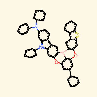 c1ccc(-c2cc3c4c(c2)Oc2cc5c(cc2B4c2cc4c(cc2O3)sc2ccccc24)c2ccc(N(c3ccccc3)c3ccccc3)cc2n5-c2ccccc2)cc1